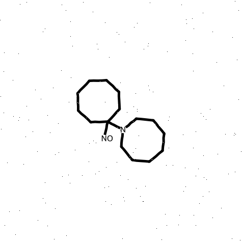 O=NC1(N2CCCCCCC2)CCCCCCC1